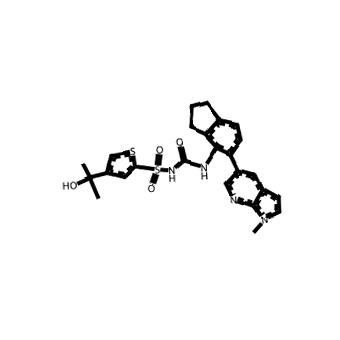 Cn1ccc2cc(-c3ccc4c(c3NC(=O)NS(=O)(=O)c3cc(C(C)(C)O)cs3)CCC4)cnc21